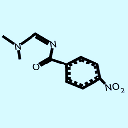 CN(C)/C=N\C(=O)c1ccc([N+](=O)[O-])cc1